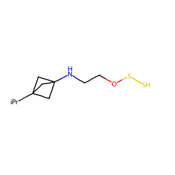 CC(C)C12CC(NCCOSS)(C1)C2